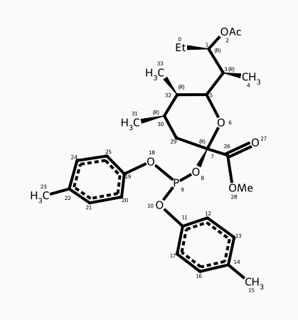 CC[C@@H](OC(C)=O)[C@@H](C)C1O[C@](OP(Oc2ccc(C)cc2)Oc2ccc(C)cc2)(C(=O)OC)C[C@@H](C)[C@H]1C